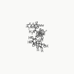 CC1=CC(=O)NS(=O)(=O)O1.COC(=O)[C@H](Cc1ccccc1)NC(=O)[C@@H](N)CC(=O)O.OC[C@H]1O[C@@](CO)(O[C@H]2O[C@H](CO)[C@@H](O)[C@H](O)[C@H]2O)[C@@H](O)[C@@H]1O